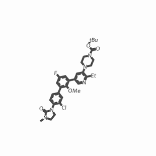 CCc1ncc(-c2cc(F)cc(-c3ccc(N4CCN(C)C4=O)c(Cl)c3)c2OC)cc1N1CCN(C(=O)OC(C)(C)C)CC1